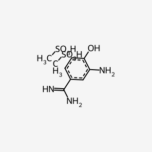 CS(=O)(=O)O.CS(=O)(=O)O.N=C(N)c1ccc(O)c(N)c1